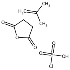 C=C(C)C.O=C1CCC(=O)O1.O=S(=O)(O)Cl